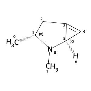 C[C@@H]1CC2=C[C@H]2N1C